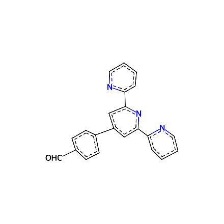 O=Cc1ccc(-c2cc(-c3ccccn3)nc(-c3ccccn3)c2)cc1